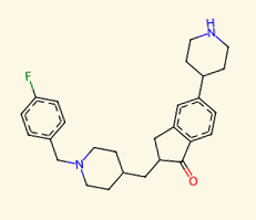 O=C1c2ccc(C3CCNCC3)cc2CC1CC1CCN(Cc2ccc(F)cc2)CC1